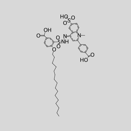 CCCCCCCCCCCCCCCCOc1ccc(C(=O)O)cc1S(=O)(=O)NN=c1cc(-c2ccc(C(=O)O)cc2)n(C)c2ccc(S(=O)(=O)O)cc12